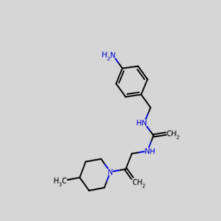 C=C(NCC(=C)N1CCC(C)CC1)NCc1ccc(N)cc1